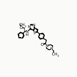 CCN1CCN(C(=O)Cc2ccc(-c3cc4ncnc(N[C@H](COC)c5ccccc5)c4s3)cc2)CC1